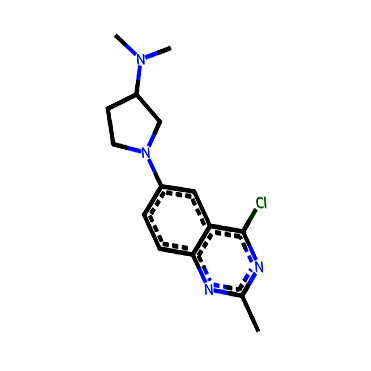 Cc1nc(Cl)c2cc(N3CCC(N(C)C)C3)ccc2n1